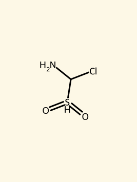 NC(Cl)[SH](=O)=O